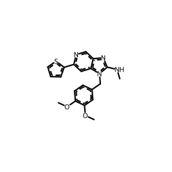 CNc1nc2cnc(-c3cccs3)cc2n1Cc1ccc(OC)c(OC)c1